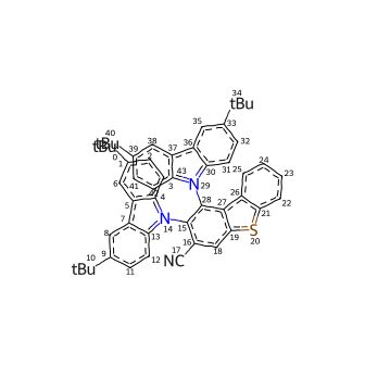 CC(C)(C)c1ccc2c(c1)c1cc(C(C)(C)C)ccc1n2-c1c(C#N)cc2sc3ccccc3c2c1-n1c2ccc(C(C)(C)C)cc2c2cc(C(C)(C)C)ccc21